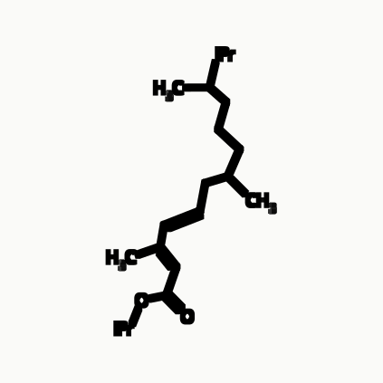 CC(C=CCC(C)CCCC(C)C(C)C)=CC(=O)OC(C)C